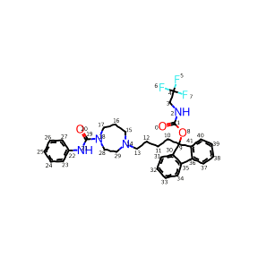 O=C(NCC(F)(F)F)OC1(CCCCN2CCCN(C(=O)Nc3ccccc3)CC2)c2ccccc2-c2ccccc21